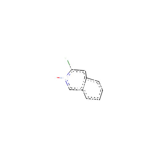 [O-][n+]1cc2ccccc2cc1Br